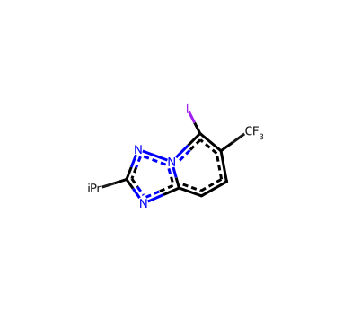 CC(C)c1nc2ccc(C(F)(F)F)c(I)n2n1